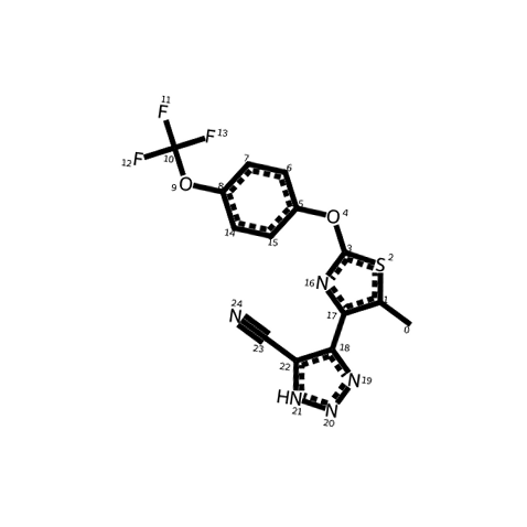 Cc1sc(Oc2ccc(OC(F)(F)F)cc2)nc1-c1nn[nH]c1C#N